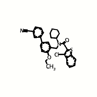 CCOc1ccc(-c2cccc(C#N)c2)cc1CN(C(=O)c1sc2ccccc2c1Cl)C1CCCCC1